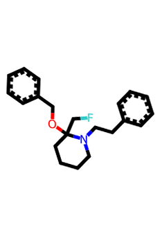 FCC1(OCc2ccccc2)CCCCN1CCc1ccccc1